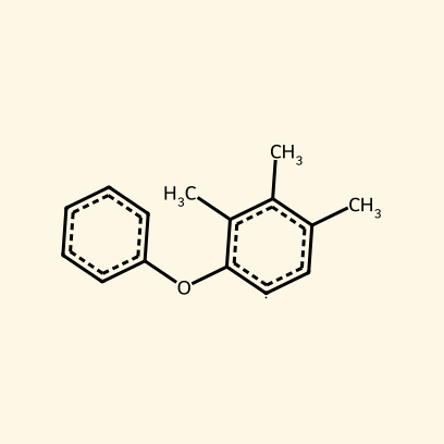 Cc1c[c]c(Oc2ccccc2)c(C)c1C